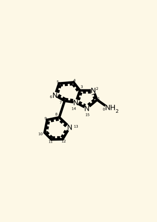 Nc1nc2ccnc(-c3ccccn3)n2n1